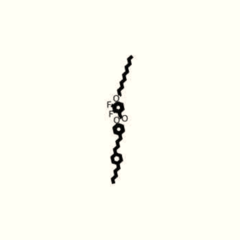 CCCCCCCCCCCOc1ccc(C(=O)Oc2ccc(CCCCC3CCC(CCCCC)CC3)cc2)c(F)c1F